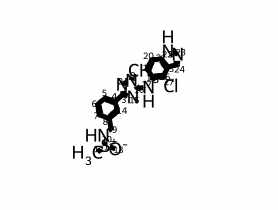 Cn1nc(-c2cccc(CN[S+](C)[O-])c2)nc1Nc1ccc2[nH]ncc2c1Cl